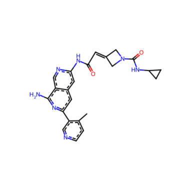 Cc1ccncc1-c1cc2cc(NC(=O)C=C3CN(C(=O)NC4CC4)C3)ncc2c(N)n1